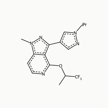 CC(C)n1cc(-c2nn(C)c3ccnc(OC(C)C(F)(F)F)c23)cn1